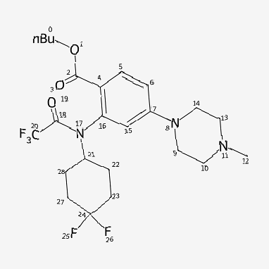 CCCCOC(=O)c1ccc(N2CCN(C)CC2)cc1N(C(=O)C(F)(F)F)C1CCC(F)(F)CC1